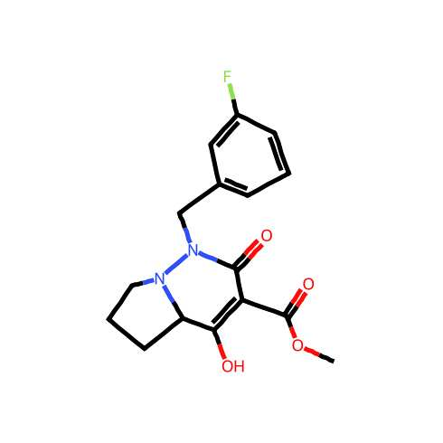 COC(=O)C1=C(O)C2CCCN2N(Cc2cccc(F)c2)C1=O